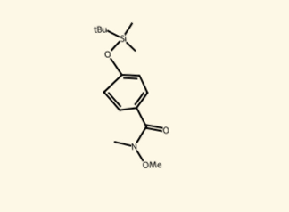 CON(C)C(=O)c1ccc(O[Si](C)(C)C(C)(C)C)cc1